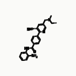 CCN(C)Cc1cnc(-c2ccc(C(=O)Nc3ccccc3N)cc2)c(C#N)c1